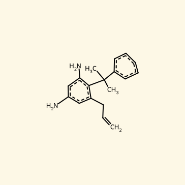 C=CCc1cc(N)cc(N)c1C(C)(C)c1ccccc1